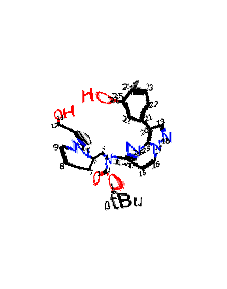 CC(C)(C)OC(=O)N(CC1CCCN1CCO)c1ccn2ncc(-c3cccc(O)c3)c2n1